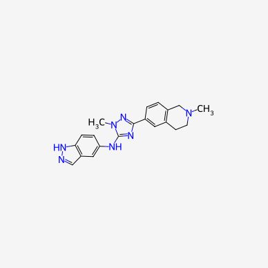 CN1CCc2cc(-c3nc(Nc4ccc5[nH]ncc5c4)n(C)n3)ccc2C1